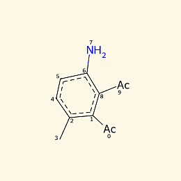 CC(=O)c1c(C)ccc(N)c1C(C)=O